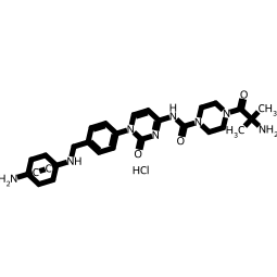 CC(C)(N)C(=O)N1CCN(C(=O)Nc2ccn(-c3ccc(CNC45CCC(N)(CC4)CC5)cc3)c(=O)n2)CC1.Cl